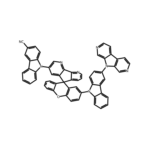 N#Cc1ccc2c(c1)c1ccccc1n2-c1cnc2c(c1)C1(c3ccccc3Oc3ccc(-n4c5ccccc5c5cc(-n6c7cnccc7c7ccncc76)ccc54)cc31)c1cccnc1-2